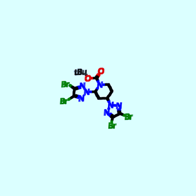 CC(C)(C)OC(=O)N1CCC(n2nc(Br)c(Br)n2)CC1n1nc(Br)c(Br)n1